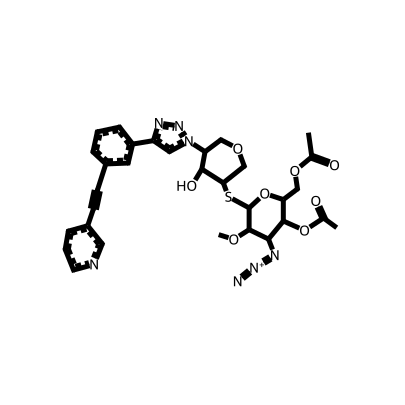 COC1C(SC2COCC(n3cc(-c4cccc(C#Cc5cccnc5)c4)nn3)C2O)OC(COC(C)=O)C(OC(C)=O)C1N=[N+]=[N-]